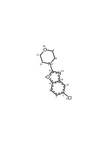 Clc1ccc2oc(N3CCOCC3)nc2c1